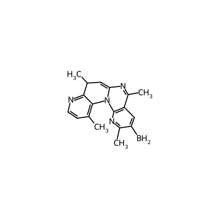 Bc1cc2c(nc1C)N1C(=CC(C)c3nccc(C)c31)N=C2C